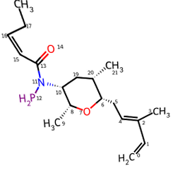 C=C/C(C)=C/C[C@@H]1O[C@H](C)[C@H](N(P)C(=O)/C=C\CC)C[C@@H]1C